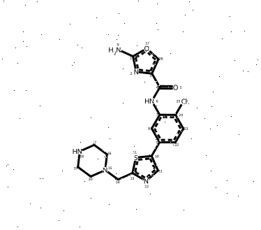 Nc1nc(C(=O)Nc2cc(-c3cnc(CN4CCNCC4)s3)ccc2Cl)co1